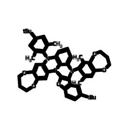 Cc1cc(C(C)(C)C)cc(C)c1N1c2cc3c(cc2B2c4oc5ccc(C(C)(C)C)cc5c4N(c4c(C)cc5c(c4C)OCCCO5)c4cccc1c42)OCCCO3